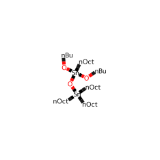 CCCCCCC[CH2][Sn]([CH2]CCCCCCC)([CH2]CCCCCCC)[O][Sn]([CH2]CCCCCCC)([O]CCCC)[O]CCCC